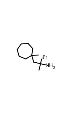 CC(C)C(C)(N)CC1(C)CCCCCC1